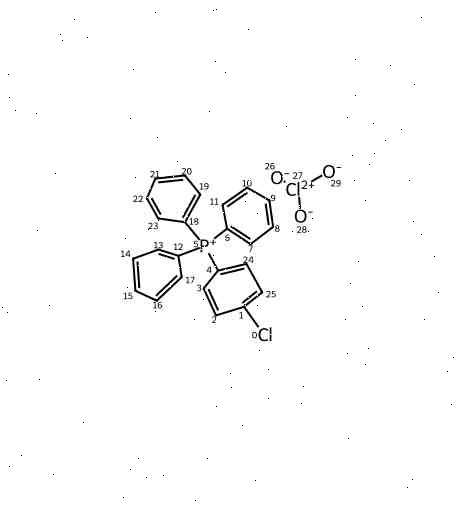 Clc1ccc([P+](c2ccccc2)(c2ccccc2)c2ccccc2)cc1.[O-][Cl+2]([O-])[O-]